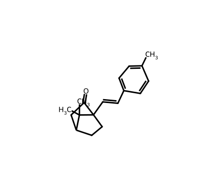 Cc1ccc(C=CC23CCC(CC2=O)C3(C)C)cc1